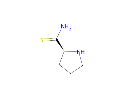 NC(=S)[C@@H]1CCCN1